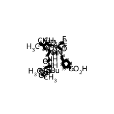 CC(C)=C1CN(C(=O)CNC(=O)N[C@H](CN(C)S(C)(=O)=O)C(C)(C)C)[C@H](C(=O)N[C@@H](CC(F)F)C(=O)NCCc2ccc(C(=O)O)cc2)C1C